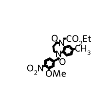 CCOC(=O)CN1C(=O)CCN(C(=O)c2ccc([N+](=O)[O-])c(OC)c2)c2ccc(C)cc21